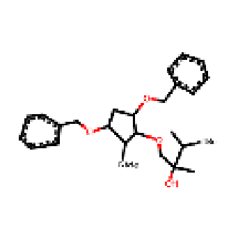 CCCCC(C)C(C)(O)COC1C(OCc2ccccc2)CC(OCc2ccccc2)C1NC